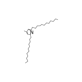 CCCCCCCCCCCCc1cc(C)cc(CCCCCCCCCCCC)n1